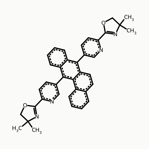 CC1(C)COC(c2ccc(-c3c4ccccc4c(-c4ccc(C5=NC(C)(C)CO5)nc4)c4c3ccc3ccccc34)cn2)=N1